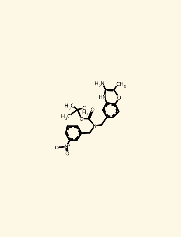 CC1=C(N)Nc2cc(CN(Cc3cccc([N+](=O)[O-])c3)C(=O)OC(C)(C)C)ccc2O1